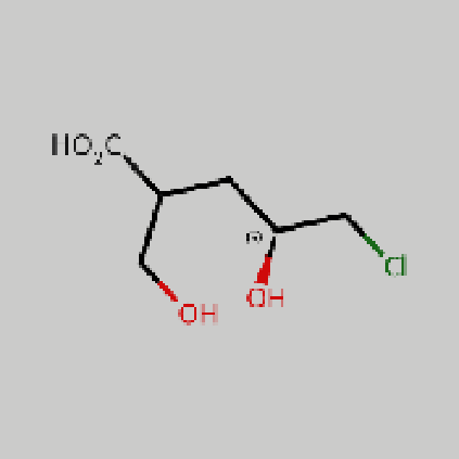 O=C(O)C(CO)C[C@H](O)CCl